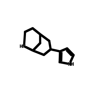 c1cc(C2CC3CCNC(C3)C2)c[nH]1